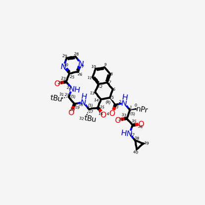 CCC[C@H](NC(=O)[C@@H]1Cc2ccccc2CC1C(=O)[C@@H](NC(=O)[C@@H](NC(=O)c1cnccn1)C(C)(C)C)C(C)(C)C)C(=O)C(=O)NC1CC1